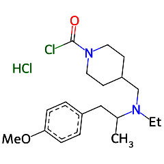 CCN(CC1CCN(C(=O)Cl)CC1)C(C)Cc1ccc(OC)cc1.Cl